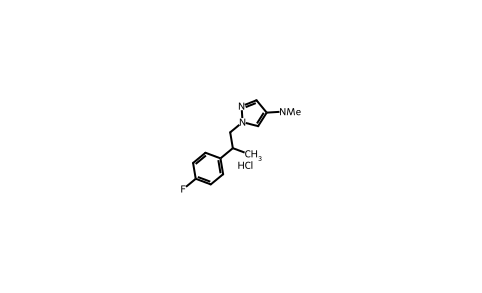 CNc1cnn(CC(C)c2ccc(F)cc2)c1.Cl